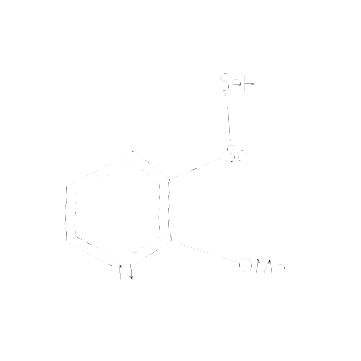 COc1ncccc1[Se][SeH]